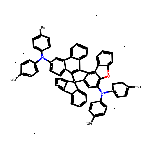 CC(C)(C)C1=CC=C(N(c2ccc(C(C)(C)C)cc2)c2cc3c(c4c2oc2ccccc24)-c2c(c4ccc(N(c5ccc(C(C)(C)C)cc5)c5ccc(C(C)(C)C)cc5)cc4c4ccccc24)C32c3ccccc3-c3ccccc32)CC1